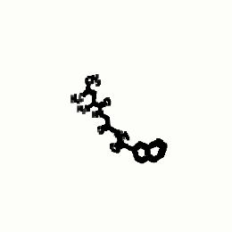 CC(C)C[C@H](N)C(=O)NCC(=O)NC(=O)c1ccc2ccccc2c1